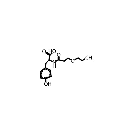 CCCOCCC(=O)N[C@@H](Cc1ccc(O)cc1)C(=O)O